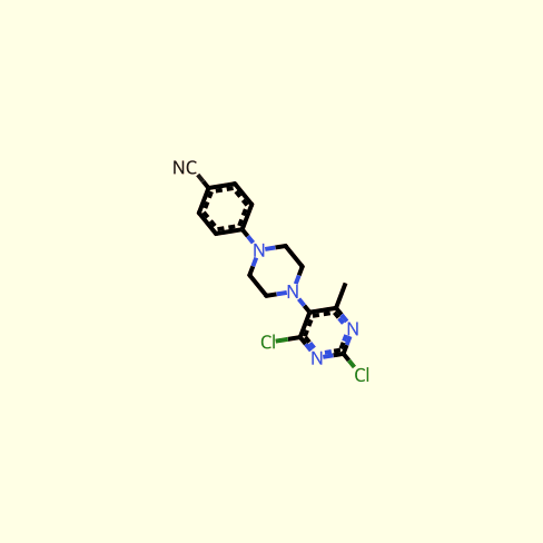 Cc1nc(Cl)nc(Cl)c1N1CCN(c2ccc(C#N)cc2)CC1